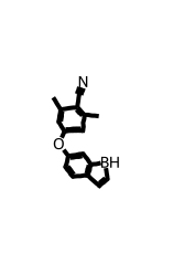 Cc1cc(Oc2ccc3c(c2)BC=C3)cc(C)c1C#N